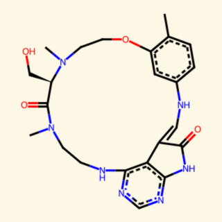 Cc1ccc2cc1OCCN(C)[C@H](CO)C(=O)N(C)CCNc1ncnc3c1/C(=C/N2)C(=O)N3